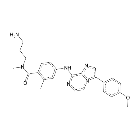 COc1ccc(-c2cnc3c(Nc4ccc(C(=O)N(C)CCCN)c(C)c4)nccn23)cc1